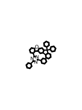 c1ccc(-c2nc(-c3ccccc3)nc(-c3cccc4oc5cc6c(cc5c34)-c3ccccc3C6(c3ccccc3)c3ccccc3)n2)cc1